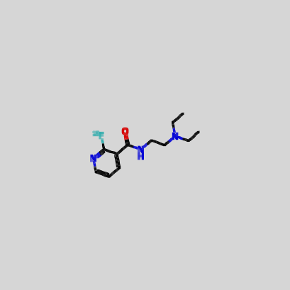 CCN(CC)CCNC(=O)c1cccnc1[18F]